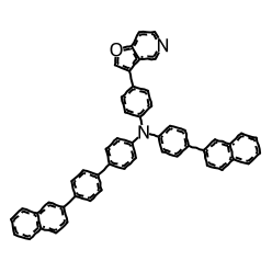 c1ccc2cc(-c3ccc(-c4ccc(N(c5ccc(-c6ccc7ccccc7c6)cc5)c5ccc(-c6coc7ccncc67)cc5)cc4)cc3)ccc2c1